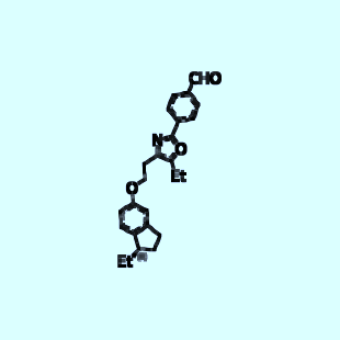 CCc1oc(-c2ccc(C=O)cc2)nc1CCOc1ccc2c(c1)CC[C@H]2CC